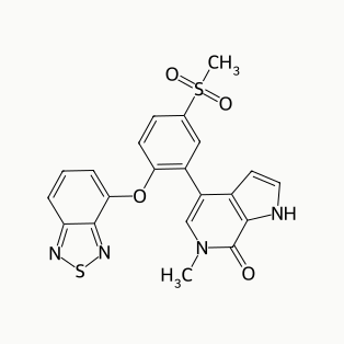 Cn1cc(-c2cc(S(C)(=O)=O)ccc2Oc2cccc3nsnc23)c2cc[nH]c2c1=O